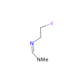 CN/C=N\CCI